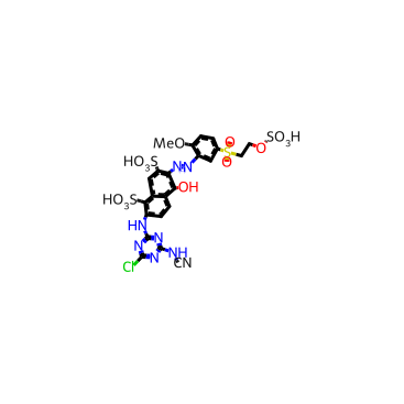 COc1ccc(S(=O)(=O)CCOS(=O)(=O)O)cc1/N=N/c1c(S(=O)(=O)O)cc2c(S(=O)(=O)O)c(Nc3nc(Cl)nc(NC#N)n3)ccc2c1O